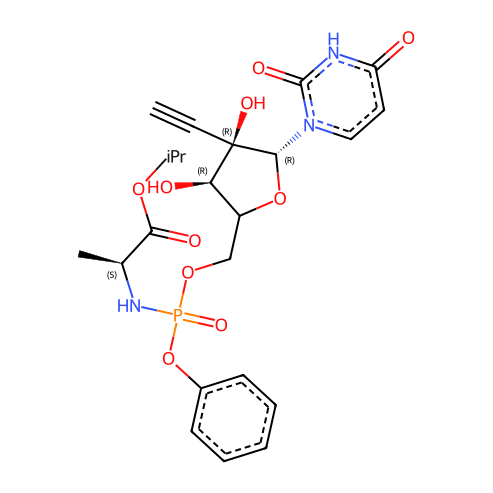 C#C[C@@]1(O)[C@H](O)C(COP(=O)(N[C@@H](C)C(=O)OC(C)C)Oc2ccccc2)O[C@H]1n1ccc(=O)[nH]c1=O